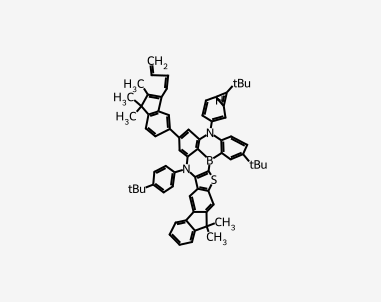 C=C/C=C\C1=C(C)C(C)(C)c2ccc(-c3cc4c5c(c3)N(c3ccc(C(C)(C)C)cc3)c3c(sc6cc7c(cc36)-c3ccccc3C7(C)C)B5c3cc(C(C)(C)C)ccc3N4C3=CC4=C(C(C)(C)C)[C@H]4C=C3)cc21